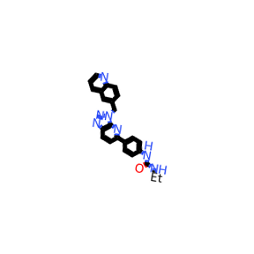 CCNC(=O)Nc1ccc(-c2ccc3nnn(Cc4ccc5ncccc5c4)c3n2)cc1